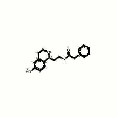 O=C(Cc1ccccc1)NCCC1OCCc2cc(O)ccc21